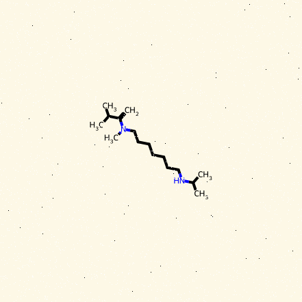 C=C(C(C)C)N(C)CCCCCCCNC(C)C